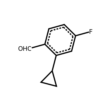 O=Cc1ccc(F)cc1C1CC1